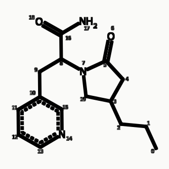 CCCC1CC(=O)N(C(Cc2cccnc2)C(N)=O)C1